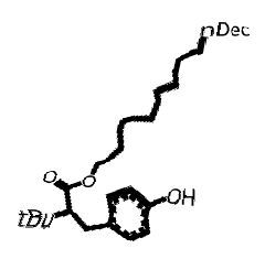 CCCCCCCCCCCCCCCCCCOC(=O)C(Cc1ccc(O)cc1)C(C)(C)C